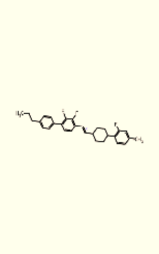 CCCc1ccc(-c2ccc(/C=C/C3CCC(c4ccc(C)cc4F)CC3)c(F)c2F)cc1